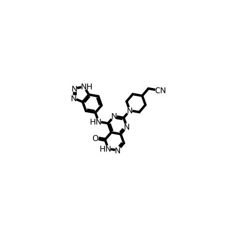 N#CCC1CCN(c2nc(Nc3ccc4[nH]nnc4c3)c3c(=O)[nH]ncc3n2)CC1